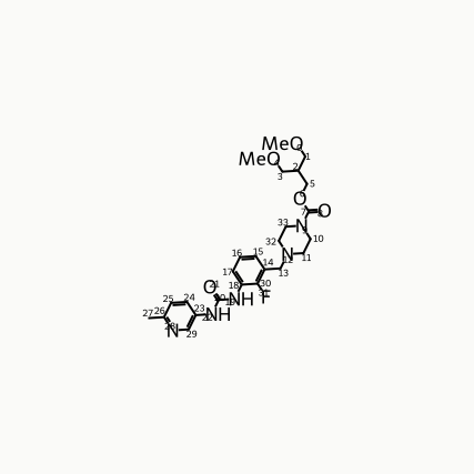 COCC(COC)COC(=O)N1CCN(Cc2cccc(NC(=O)Nc3ccc(C)nc3)c2F)CC1